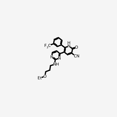 CCOCCCNc1nccc(-c2cc(C#N)c(=O)[nH]c2-c2cccc(C(F)(F)F)c2)n1